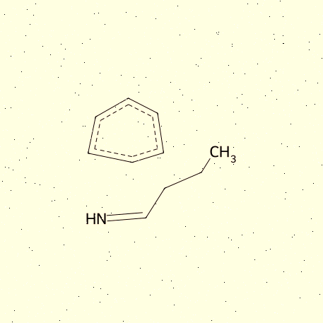 CCCC=N.c1ccccc1